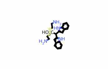 NCCSSCCN.O=C(O)C(c1cc2ccccc2[nH]1)c1cc2ccccc2[nH]1